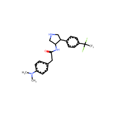 CN(C)c1ccc(CC(=O)NC2CNCC2c2ccc(C(F)(F)C(F)(F)F)cc2)cc1